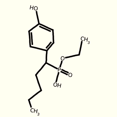 CCCCC(c1ccc(O)cc1)P(=O)(O)OCC